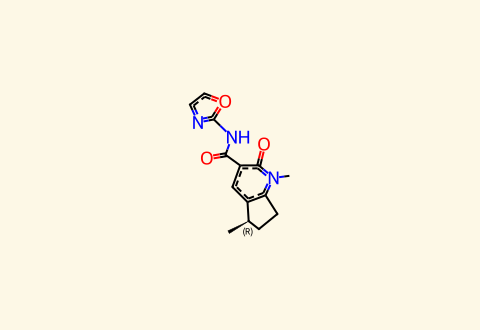 C[C@@H]1CCc2c1cc(C(=O)Nc1ncco1)c(=O)n2C